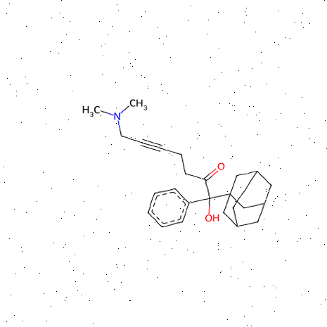 CN(C)CC#CCCC(=O)C(O)(c1ccccc1)C12CC3CC(CC(C3)C1)C2